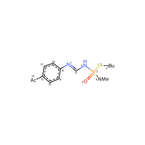 CCC(C)SP(=O)(NC)NC=Nc1ccc(C(C)=O)cc1